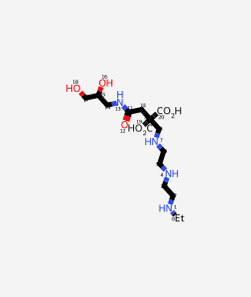 CCNCCNCCNCC(CC(=O)NCC(O)CO)(C(=O)O)C(=O)O